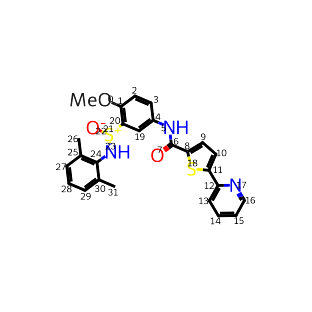 COc1ccc(NC(=O)c2ccc(-c3ccccn3)s2)cc1[S+]([O-])Nc1c(C)cccc1C